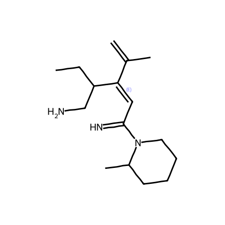 C=C(C)/C(=C/C(=N)N1CCCCC1C)C(CC)CN